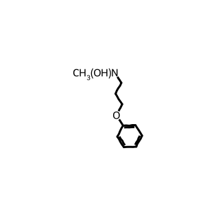 CN(O)CCCOc1ccccc1